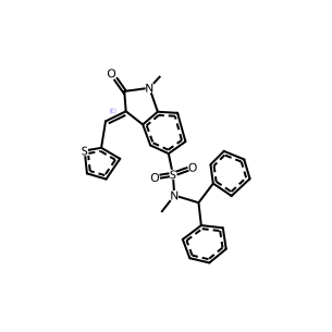 CN1C(=O)/C(=C/c2cccs2)c2cc(S(=O)(=O)N(C)C(c3ccccc3)c3ccccc3)ccc21